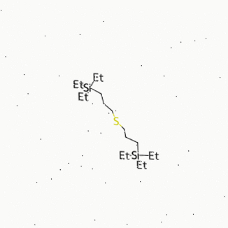 CC[Si](CC)(CC)CCCSCCC[Si](CC)(CC)CC